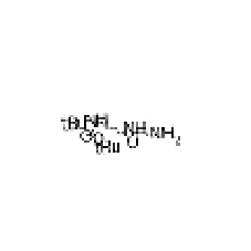 CC(C)(C)N[C@@H](CCCCNC(=O)CCN)C(=O)OC(C)(C)C